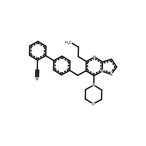 CCCc1nc2ccnn2c(N2CCOCC2)c1Cc1ccc(-c2ccccc2C#N)cc1